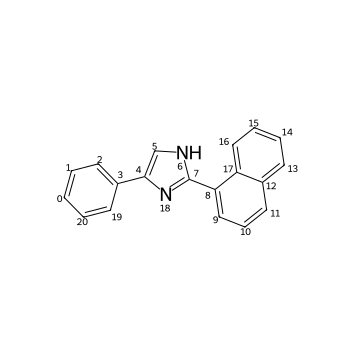 c1ccc(-c2c[nH]c(-c3cccc4ccccc34)n2)cc1